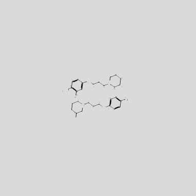 CC1CCCN(CCCOc2ccc([N+](=O)[O-])cc2)C1.N#Cc1ccc(OCCCN2CCCCC2)cc1F